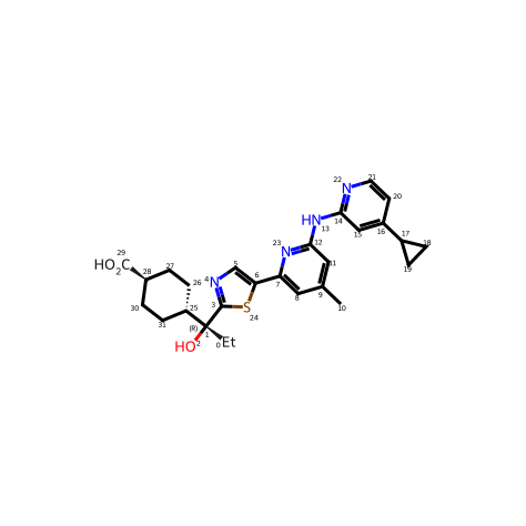 CC[C@](O)(c1ncc(-c2cc(C)cc(Nc3cc(C4CC4)ccn3)n2)s1)[C@H]1CC[C@H](C(=O)O)CC1